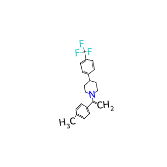 C=C(c1ccc(C)cc1)N1CCC(c2ccc(C(F)(F)F)cc2)CC1